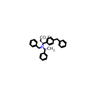 CCOC(=O)C[C@@H](c1ccc(Cc2ccccc2)cc1)N(Cc1ccccc1)[C@H](C)c1ccccc1